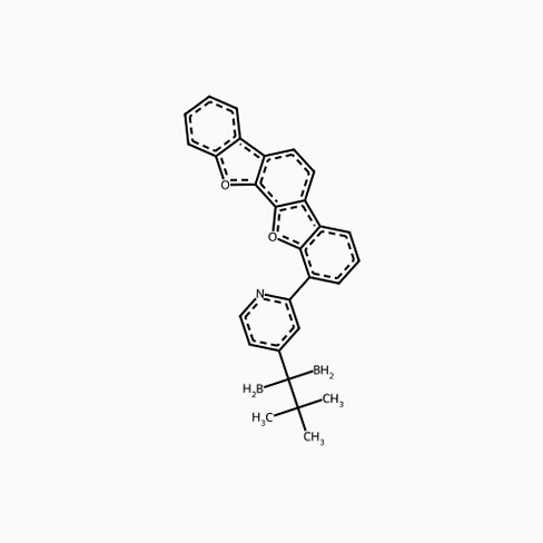 BC(B)(c1ccnc(-c2cccc3c2oc2c3ccc3c4ccccc4oc32)c1)C(C)(C)C